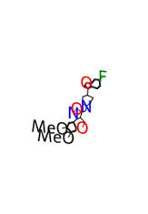 COc1cc2c(cc1OC)C1=NOC(CN3CCC(c4coc5cc(F)ccc45)CC3)C1CO2